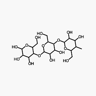 CC1C(CO)OC(OC2C(CO)OC(OC3C(CO)OC(O)C(O)C3O)C(O)C2O)C(O)C1O